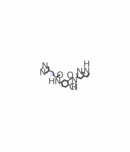 O=C(/C=C/c1cncnc1)Nc1ccc(Cl)c(C(=O)Nc2cnc3[nH]ccc3c2)c1